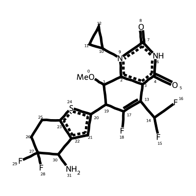 COC1c2c(c(=O)[nH]c(=O)n2C2CC2)C(C(F)F)=C(F)C1c1cc2c(s1)CCC(F)(F)C2N